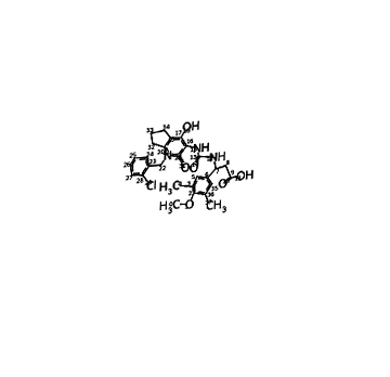 COc1c(C)cc([C@H](CC(=O)O)NC(=O)Nc2c(O)c3c(n(Cc4ccccc4Cl)c2=O)CCC3)cc1C